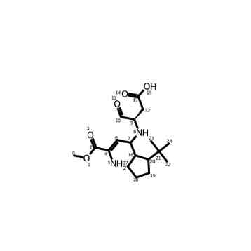 COC(=O)C(N)=CC(N[C@@H](C=O)CC(=O)O)C1CCCC1C(C)(C)C